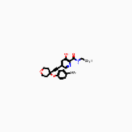 COc1ccc(OC2(C#Cc3cnc(C(=O)NCC(=O)O)c(O)c3)CCOCC2)cc1